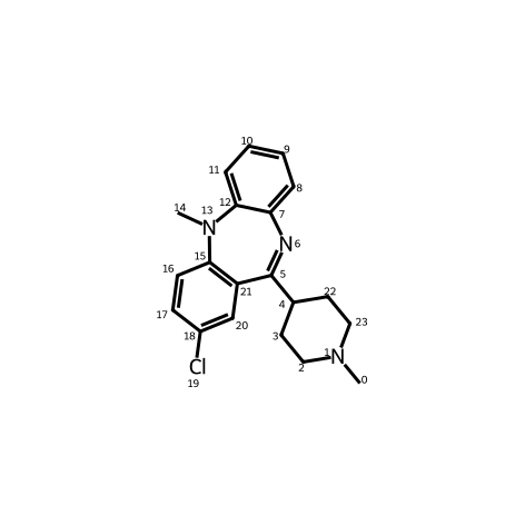 CN1CCC(C2=Nc3ccccc3N(C)c3ccc(Cl)cc32)CC1